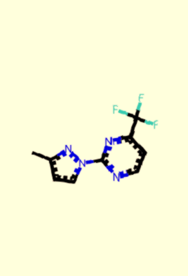 Cc1ccn(-c2nccc(C(F)(F)F)n2)n1